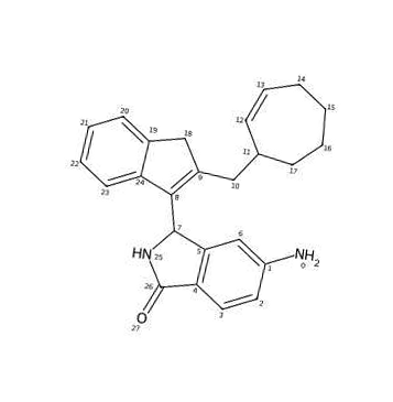 Nc1ccc2c(c1)C(C1=C(CC3C=CCCCC3)Cc3ccccc31)NC2=O